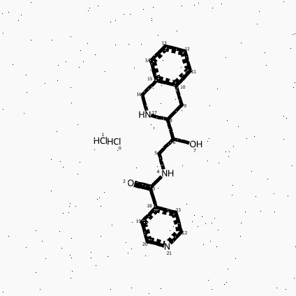 Cl.Cl.O=C(NCC(O)C1Cc2ccccc2CN1)c1ccncc1